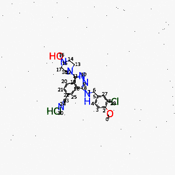 COc1ccc(CNc2nnc(N3CCN(O)CC3)c3ccc(C#N)cc23)cc1Cl.Cl